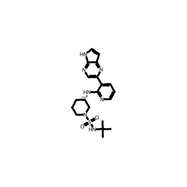 CC(C)(C)NS(=O)(=O)N1CCC[C@H](Nc2ncccc2-c2cnc3[nH]ccc3n2)C1